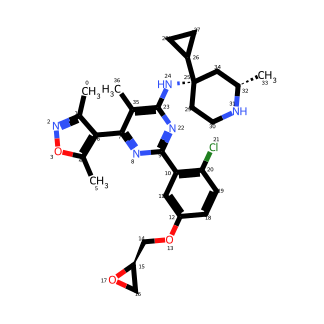 Cc1noc(C)c1-c1nc(-c2cc(OC[C@H]3CO3)ccc2Cl)nc(N[C@@]2(C3CC3)CCN[C@@H](C)C2)c1C